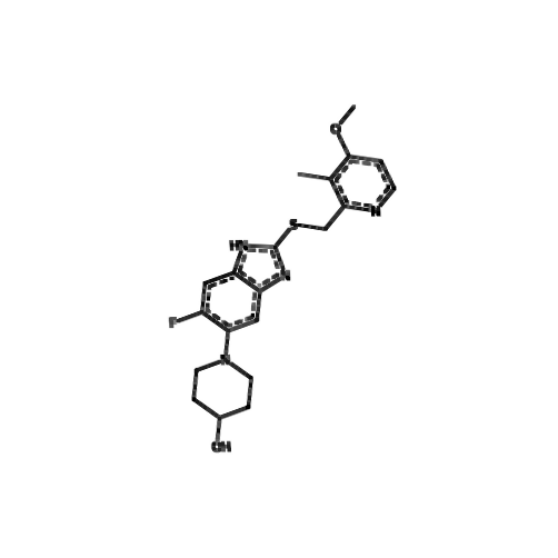 COc1ccnc(CSc2nc3cc(N4CCC(O)CC4)c(F)cc3[nH]2)c1C